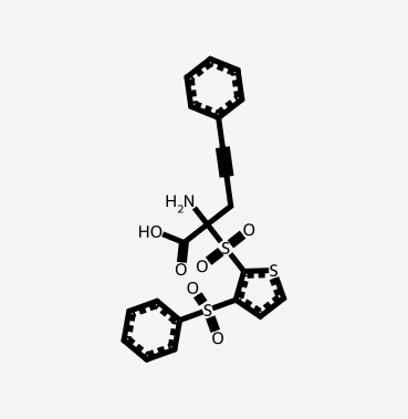 NC(CC#Cc1ccccc1)(C(=O)O)S(=O)(=O)c1sccc1S(=O)(=O)c1ccccc1